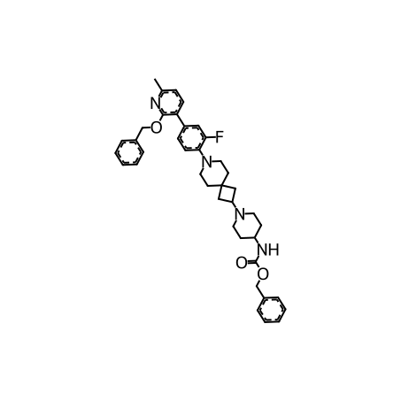 Cc1ccc(-c2ccc(N3CCC4(CC3)CC(N3CCC(NC(=O)OCc5ccccc5)CC3)C4)c(F)c2)c(OCc2ccccc2)n1